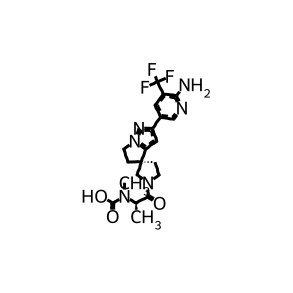 C[C@H](C(=O)N1CC[C@@]2(CCn3nc(-c4cnc(N)c(C(F)(F)F)c4)cc32)C1)N(C)C(=O)O